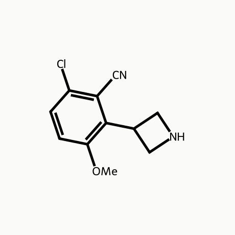 COc1ccc(Cl)c(C#N)c1C1CNC1